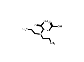 CCCN(CCC)[C@@H](CC(=O)O)C(N)=O